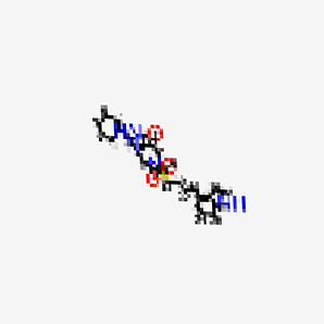 O=C1NC(C2CCCCC2)=NC12CCN(S(=O)(=O)CCC=Cc1cccc3[nH]ccc13)CC2